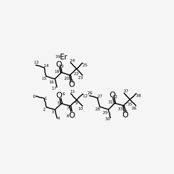 CCCC(C)C(=O)C(=O)C(C)(C)C.CCCC(C)C(=O)C(=O)C(C)(C)C.CCCC(C)C(=O)C(=O)C(C)(C)C.[Er]